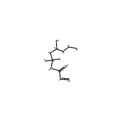 C=CC(=O)OC(C)(C)CN(C)CCC